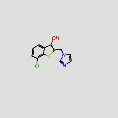 OC1c2cccc(Cl)c2SC1Cn1ccnc1